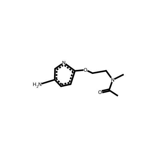 CC(=O)N(C)CCOc1ccc(N)cn1